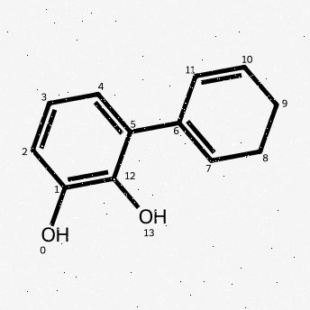 Oc1cccc(C2=CCCC=C2)c1O